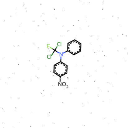 O=[N+]([O-])c1ccc(N(c2ccccc2)C(F)(Cl)Cl)cc1